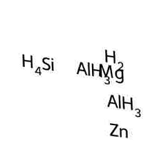 [AlH3].[AlH3].[MgH2].[SiH4].[Zn]